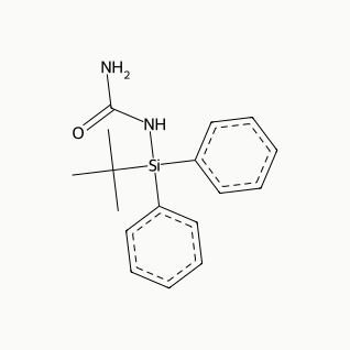 CC(C)(C)[Si](NC(N)=O)(c1ccccc1)c1ccccc1